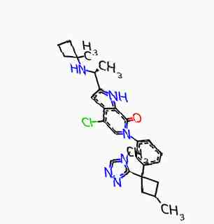 CC1CC(c2cccc(-n3cc(Cl)c4cc([C@H](C)NC5(C)CCC5)[nH]c4c3=O)c2)(c2nncn2C)C1